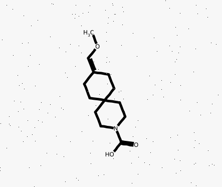 COC=C1CCC2(CC1)CCN(C(=O)O)CC2